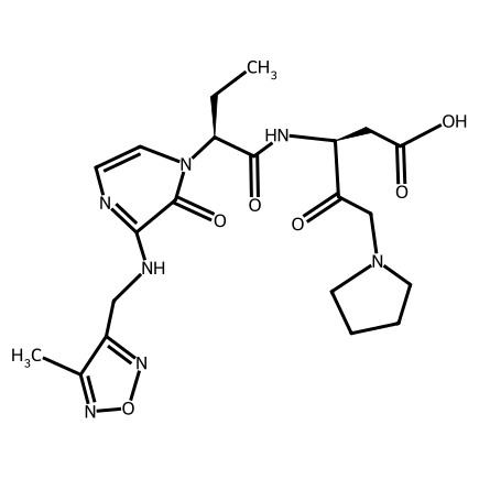 CC[C@@H](C(=O)N[C@@H](CC(=O)O)C(=O)CN1CCCC1)n1ccnc(NCc2nonc2C)c1=O